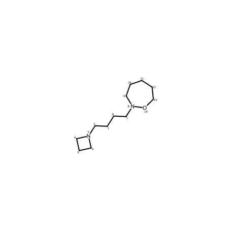 [CH](CCN1CCC1)CN1CCCCCO1